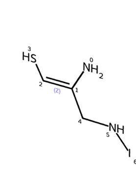 N/C(=C\S)CNI